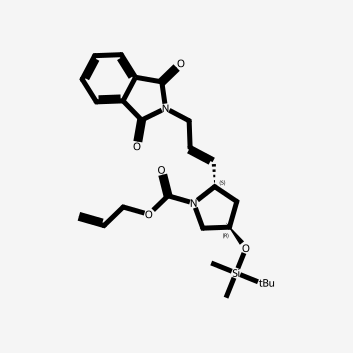 C=CCOC(=O)N1C[C@H](O[Si](C)(C)C(C)(C)C)C[C@H]1C=CCN1C(=O)c2ccccc2C1=O